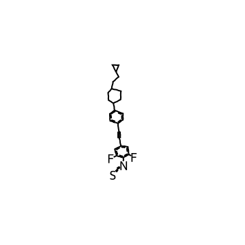 Fc1cc(C#Cc2ccc(C3CCC(CCC4CC4)CC3)cc2)cc(F)c1N=C=S